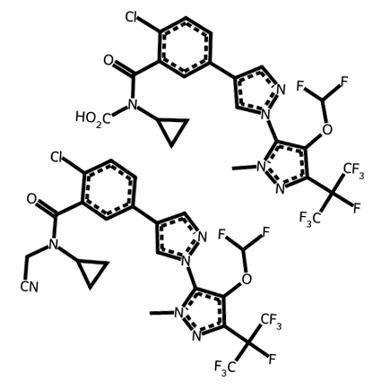 Cn1nc(C(F)(C(F)(F)F)C(F)(F)F)c(OC(F)F)c1-n1cc(-c2ccc(Cl)c(C(=O)N(C(=O)O)C3CC3)c2)cn1.Cn1nc(C(F)(C(F)(F)F)C(F)(F)F)c(OC(F)F)c1-n1cc(-c2ccc(Cl)c(C(=O)N(CC#N)C3CC3)c2)cn1